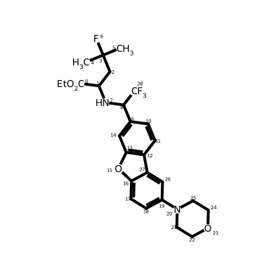 CCOC(=O)C(CC(C)(C)F)NC(c1ccc2c(c1)oc1ccc(N3CCOCC3)cc12)C(F)(F)F